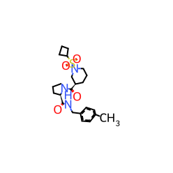 Cc1ccc(CNC(=O)[C@H]2CCCN2C(=O)[C@@H]2CCCN(S(=O)(=O)C3CCC3)C2)cc1